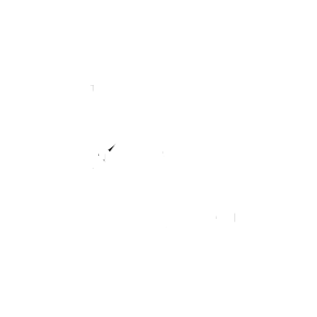 CC(C)C[C@H](N)C(=O)C(C)(O)CO